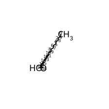 CCCCCCCCCC=CC=CC=CC=CC(=O)O